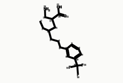 CCC(CCCc1cccc(C(F)(F)F)c1)CC(CN)C(=O)O